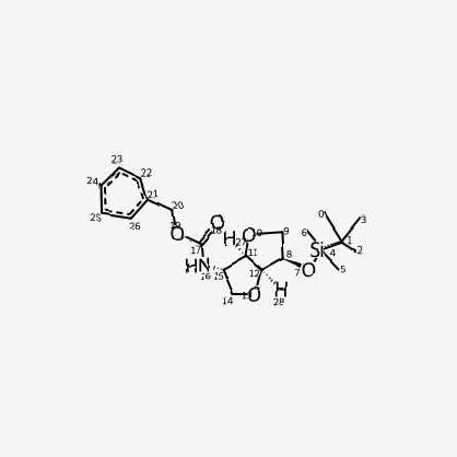 CC(C)(C)[Si](C)(C)O[C@@H]1CO[C@H]2[C@@H]1OC[C@@H]2NC(=O)OCc1ccccc1